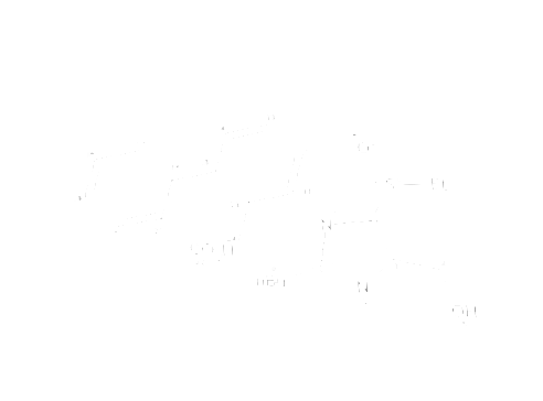 CCCCc1nc(CO)c([S+]([O-])CC)n1-c1cccc(-c2ccccc2C(=O)O)c1C